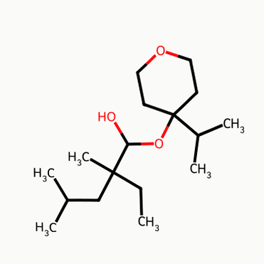 CCC(C)(CC(C)C)C(O)OC1(C(C)C)CCOCC1